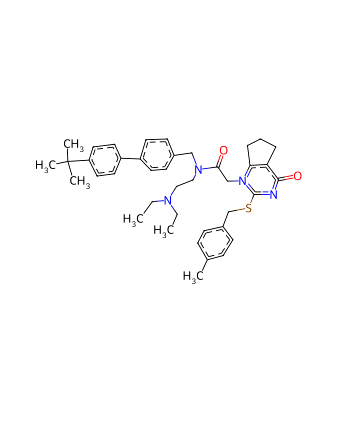 CCN(CC)CCN(Cc1ccc(-c2ccc(C(C)(C)C)cc2)cc1)C(=O)Cn1c(SCc2ccc(C)cc2)nc(=O)c2c1CCC2